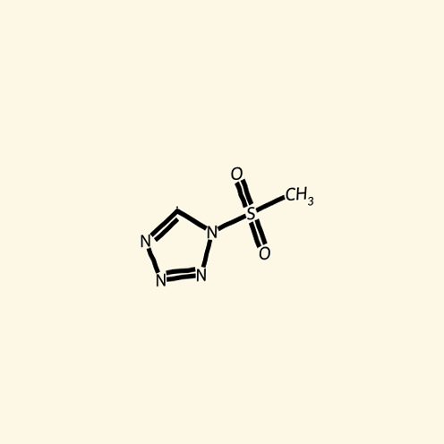 CS(=O)(=O)n1[c]nnn1